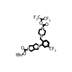 CC(C)(C)OC(=O)N1CC2CN(c3cc(C(F)(F)F)ccc3CN3CCN(C(=O)OC(C(F)(F)F)C(F)(F)F)CC3)CC2C1